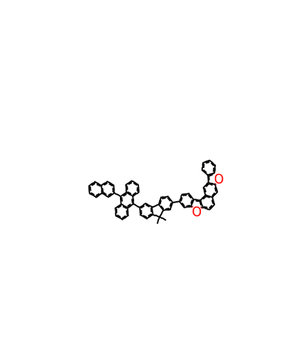 CC1(C)c2ccc(-c3c4ccccc4c(-c4ccc5ccccc5c4)c4ccccc34)cc2-c2ccc(-c3ccc4c(c3)oc3ccc5cc6oc7ccccc7c6cc5c34)cc21